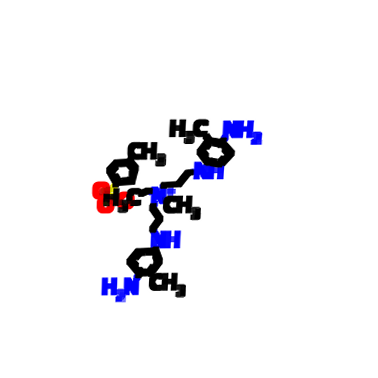 CC[N+](C)(CCCNc1ccc(N)c(C)c1)CCCNc1ccc(N)c(C)c1.Cc1ccc(S(=O)(=O)[O-])cc1